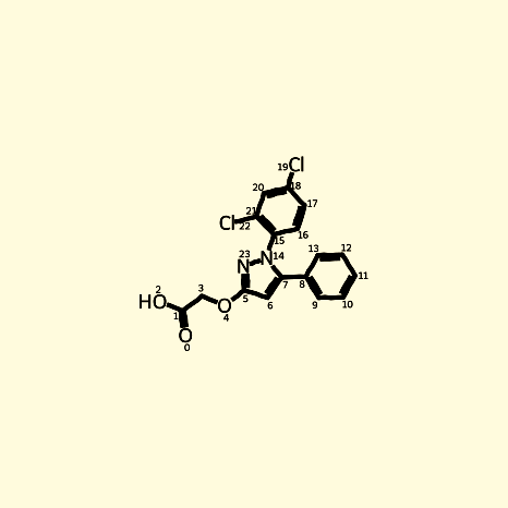 O=C(O)COc1cc(-c2ccccc2)n(-c2ccc(Cl)cc2Cl)n1